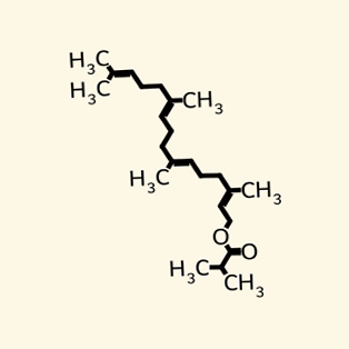 CC(C)=CCCC(C)=CCCC(C)=CCCC(C)=CCOC(=O)C(C)C